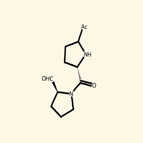 CC(=O)C1CC[C@@H](C(=O)N2CCC[C@H]2C=O)N1